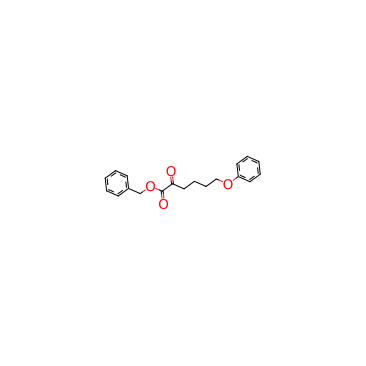 O=C(CCCCOc1ccccc1)C(=O)OCc1ccccc1